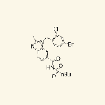 CCCCS(=O)(=O)NC(=O)c1ccc2nc(C)n(Cc3ccc(Br)cc3Cl)c2c1